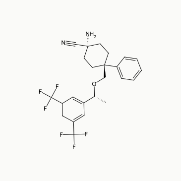 C[C@@H](OC[C@]1(c2ccccc2)CC[C@](N)(C#N)CC1)C1=CC(C(F)(F)F)CC(C(F)(F)F)=C1